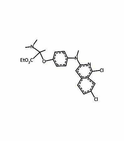 CCOC(=O)C(C)(Oc1ccc(N(C)c2cc3ccc(Cl)cc3c(Cl)n2)cc1)N(C)C